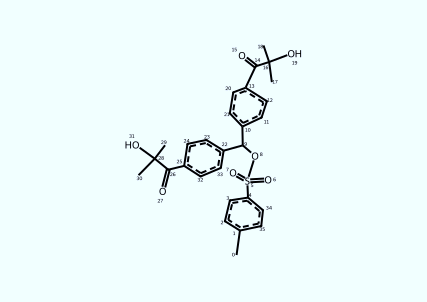 Cc1ccc(S(=O)(=O)OC(c2ccc(C(=O)C(C)(C)O)cc2)c2ccc(C(=O)C(C)(C)O)cc2)cc1